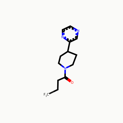 O=C(CCC(F)(F)F)N1CCC(c2cnccn2)CC1